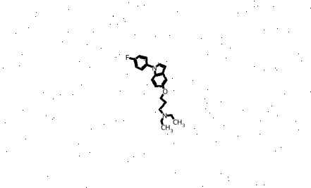 CCN(CC)CCCOc1ccc2c(ccn2-c2ccc(F)cc2)c1